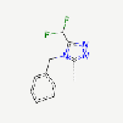 Cc1nnc(C(F)F)n1Cc1ccccc1